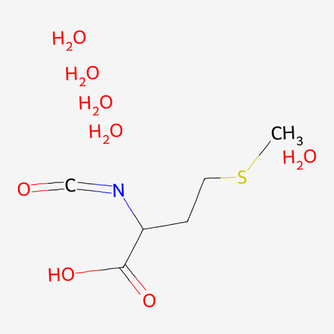 CSCCC(N=C=O)C(=O)O.O.O.O.O.O